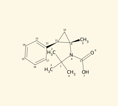 CC(C)(C)N(C(=O)O)[C@@]1(C)C[C@@H]1c1ccccc1